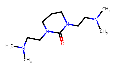 CN(C)CCN1CCCN(CCN(C)C)C1=O